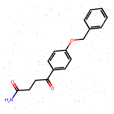 NC(=O)CCC(=O)c1ccc(OCc2ccccc2)cc1